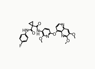 COc1cc2nccc(Oc3ccc(NC(=O)C4(C(=O)Nc5ccc(F)cc5)CC4)c(OC)n3)c2nc1OC